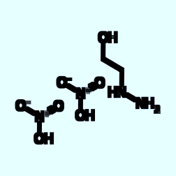 NNCCO.O=[N+]([O-])O.O=[N+]([O-])O